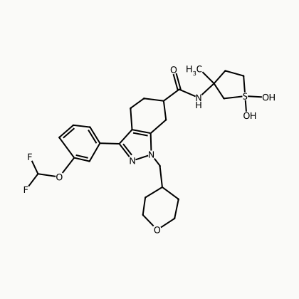 CC1(NC(=O)C2CCc3c(-c4cccc(OC(F)F)c4)nn(CC4CCOCC4)c3C2)CCS(O)(O)C1